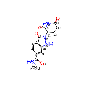 CC(C)(C)NC(=O)c1ccc2c(=O)n(C3CCC(=O)NC3=O)[nH]c2c1